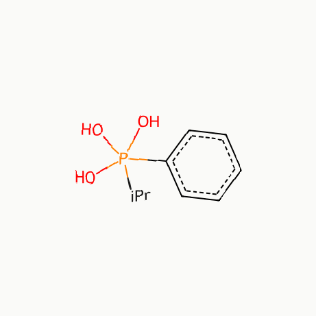 CC(C)P(O)(O)(O)c1ccccc1